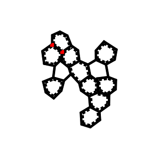 c1ccc(-c2ccccc2-c2c3cc4ccccc4cc3c(-c3ccccc3-c3ccccc3)c3cc4c(ccc5ccccc54)cc23)cc1